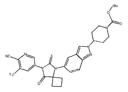 CC(C)(C)OC(=O)N1CCC(n2cc3cc(N4C(=S)N(c5cnc(C#N)c(C(F)(F)F)c5)C(=O)C45CCC5)ccc3n2)CC1